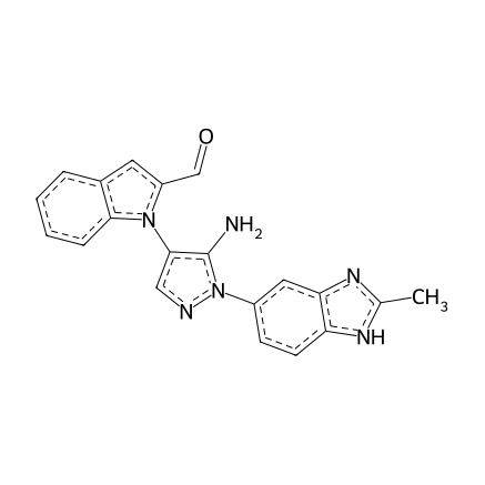 Cc1nc2cc(-n3ncc(-n4c(C=O)cc5ccccc54)c3N)ccc2[nH]1